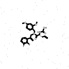 C=CC[C@@H](NC(=O)O)C(=O)N(CC(=C)c1cccc(F)c1F)Cc1ccc(OC)cc1OC